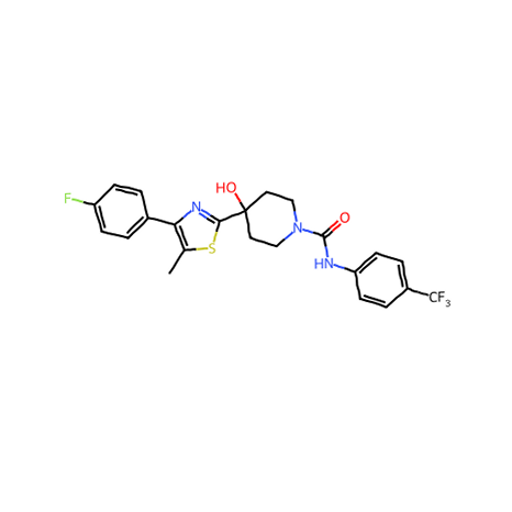 Cc1sc(C2(O)CCN(C(=O)Nc3ccc(C(F)(F)F)cc3)CC2)nc1-c1ccc(F)cc1